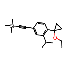 CCOC1(c2ccc(C#C[Si](C)(C)C)cc2C(C)C)CC1